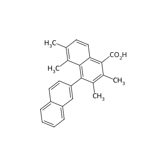 Cc1ccc2c(C(=O)O)c(C)c(C)c(-c3ccc4ccccc4c3)c2c1C